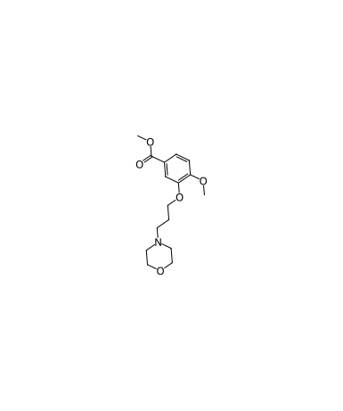 COC(=O)c1ccc(OC)c(OCCCN2CCOCC2)c1